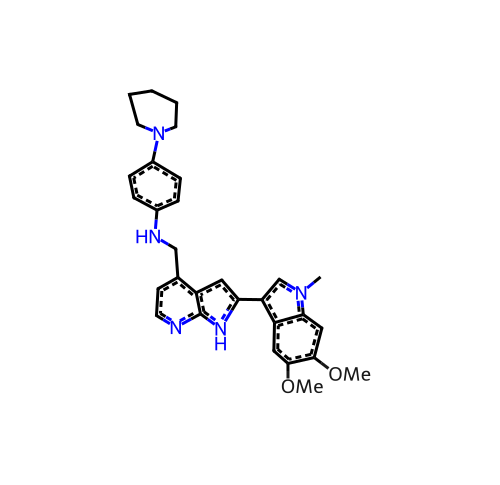 COc1cc2c(-c3cc4c(CNc5ccc(N6CCCCC6)cc5)ccnc4[nH]3)cn(C)c2cc1OC